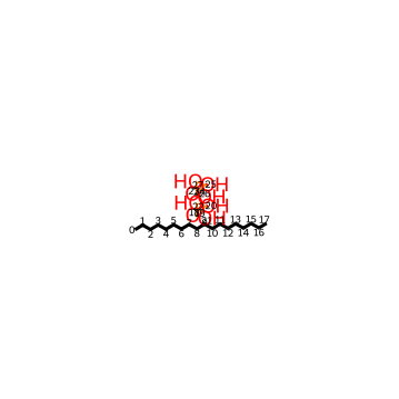 CCCCCCCCCCCCCCCCCC.O=P(O)(O)O.O=P(O)(O)O